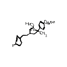 CCC(C)(CC(CCO)CCc1ccc(F)cc1)c1ccc(OC)cc1